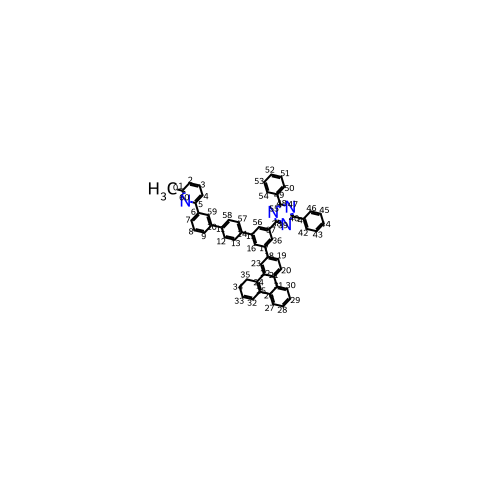 Cc1cccc(-c2cccc(-c3ccc(-c4cc(-c5ccc6c(c5)c5c(c7ccccc76)C=CCC5)cc(-c5nc(-c6ccccc6)nc(-c6ccccc6)n5)c4)cc3)c2)n1